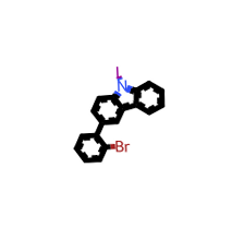 Brc1ccccc1-c1ccc2c(c1)c1ccccc1n2I